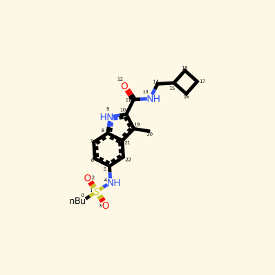 CCCCS(=O)(=O)Nc1ccc2[nH]c(C(=O)NCC3CCC3)c(C)c2c1